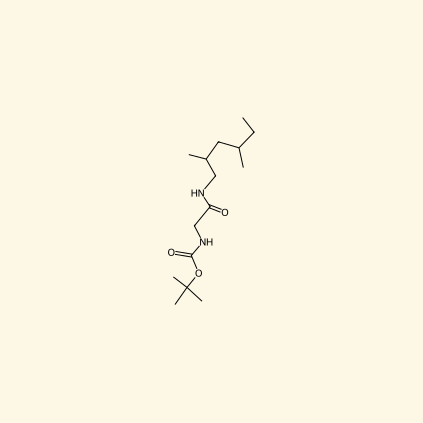 CCC(C)CC(C)CNC(=O)CNC(=O)OC(C)(C)C